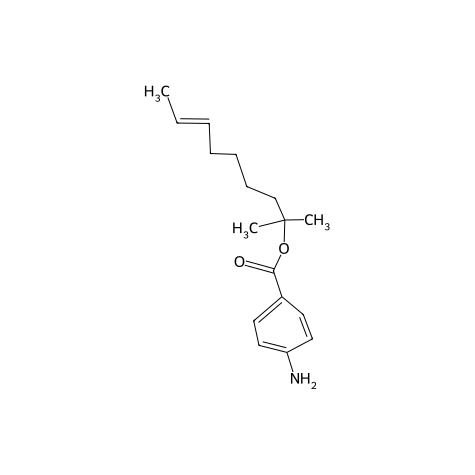 CC=CCCCCC(C)(C)OC(=O)c1ccc(N)cc1